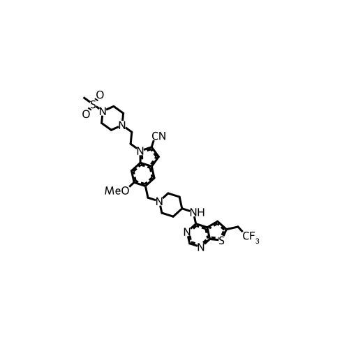 COc1cc2c(cc1CN1CCC(Nc3ncnc4sc(CC(F)(F)F)cc34)CC1)cc(C#N)n2CCN1CCN(S(C)(=O)=O)CC1